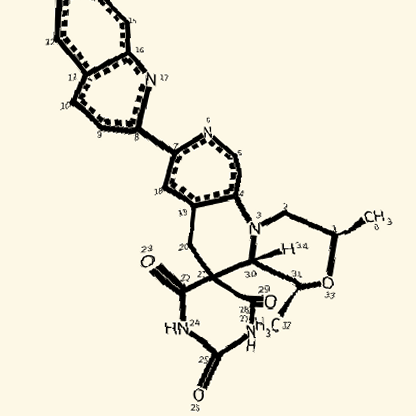 C[C@@H]1CN2c3cnc(-c4ccc5ccccc5n4)cc3CC3(C(=O)NC(=O)NC3=O)[C@H]2[C@H](C)O1